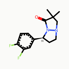 CC1(C)CN2CC[C@@H](c3ccc(F)c(F)c3)N2C1=O